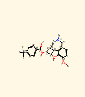 COc1ccc2c3c1OC1C[C@@H](OC(=O)c4ccc(C(C)(C)C)cc4)CC(C)[C@@]31CCN(C)C2